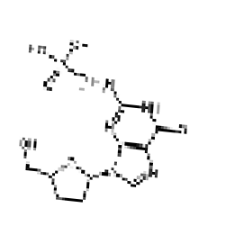 Nc1nc2c(ncn2[C@H]2CC[C@@H](CO)O2)c(=O)[nH]1.O=P(O)(O)O